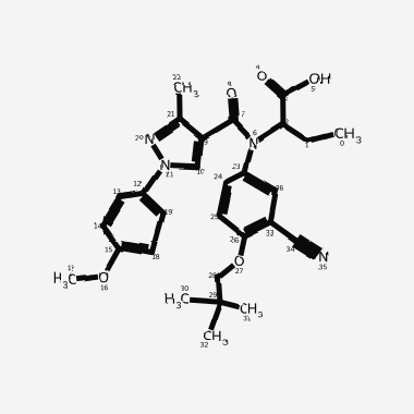 CCC(C(=O)O)N(C(=O)c1cn(-c2ccc(OC)cc2)nc1C)c1ccc(OCC(C)(C)C)c(C#N)c1